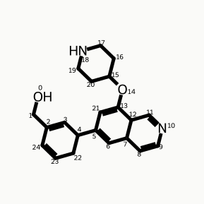 OCC1=CC(C2=CC3C=CN=CC3C(OC3CCNCC3)=C2)CC=C1